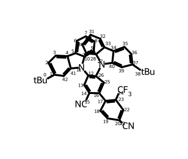 CC(C)(C)c1ccc2c3ccccc3n(-c3cc(C#N)c(-c4ccc(C#N)cc4C(F)(F)F)cc3-n3c4ccccc4c4ccc(C(C)(C)C)cc43)c2c1